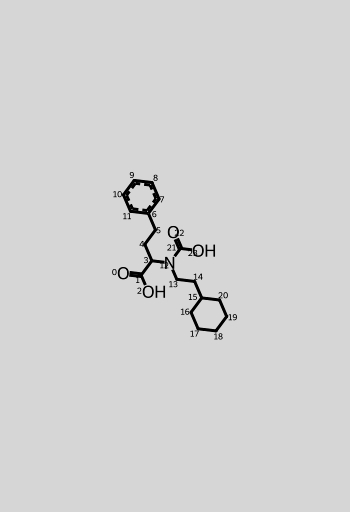 O=C(O)C(CCc1ccccc1)N(CCC1CCCCC1)C(=O)O